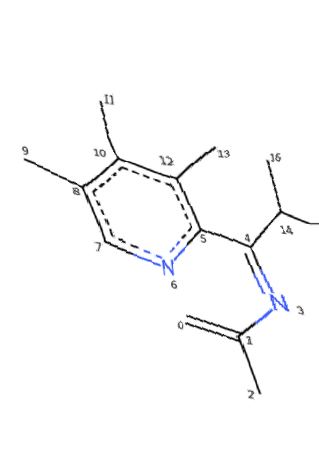 C=C(C)/N=C(\c1ncc(C)c(C)c1C)C(C)C